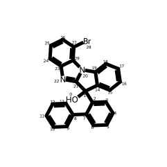 OC1(c2ccccc2-c2ccccc2)c2ccccc2-n2c1nc1cccc(Br)c12